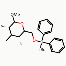 COC1OC(CO[Si](c2ccccc2)(c2ccccc2)C(C)(C)C)[C@H](C)C(C)[C@@H]1C